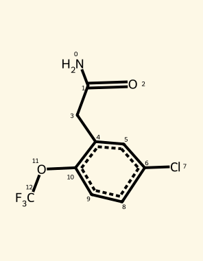 NC(=O)Cc1cc(Cl)ccc1OC(F)(F)F